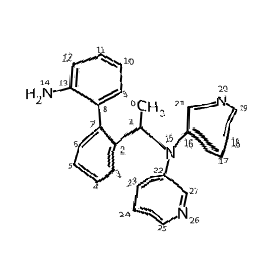 CC(c1ccccc1-c1ccccc1N)N(c1cccnc1)c1cccnc1